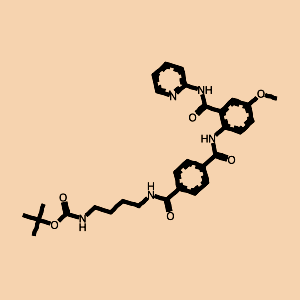 COc1ccc(NC(=O)c2ccc(C(=O)NCCCCNC(=O)OC(C)(C)C)cc2)c(C(=O)Nc2ccccn2)c1